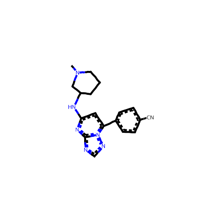 CN1CCCC(Nc2cc(-c3ccc(C#N)cc3)n3ncnc3n2)C1